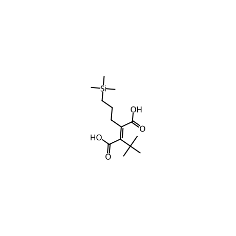 CC(C)(C)C(C(=O)O)=C(CCC[Si](C)(C)C)C(=O)O